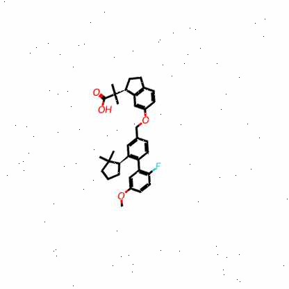 COc1ccc(F)c(-c2ccc(COc3ccc4c(c3)[C@@H](C(C)(C)C(=O)O)CC4)cc2[C@H]2CCCC2(C)C)c1